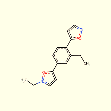 CCc1cc(-c2cc[n+](CC)o2)ccc1-c1ccno1